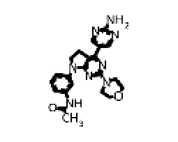 CC(=O)Nc1cccc(N2CCc3c(-c4cnc(N)nc4)nc(N4CCOCC4)nc32)c1